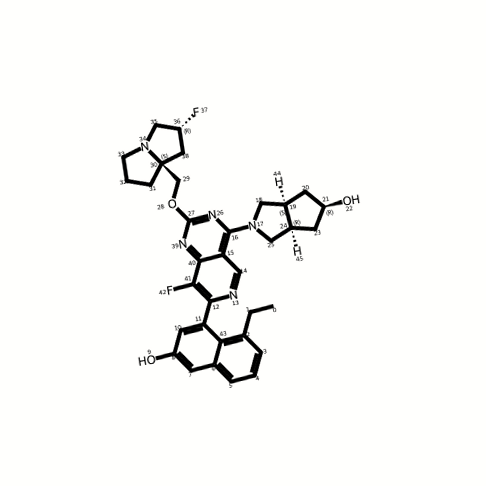 CCc1cccc2cc(O)cc(-c3ncc4c(N5C[C@H]6C[C@@H](O)C[C@H]6C5)nc(OC[C@@]56CCCN5C[C@H](F)C6)nc4c3F)c12